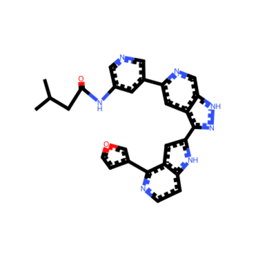 CC(C)CC(=O)Nc1cncc(-c2cc3c(-c4cc5c(-c6ccoc6)nccc5[nH]4)n[nH]c3cn2)c1